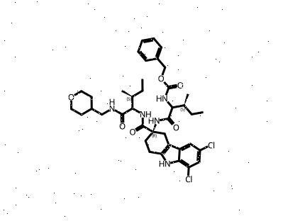 CC[C@H](C)C(NC(=O)OCc1ccccc1)C(=O)N[C@]1(C(=O)NC(C(=O)NCC2CCOCC2)[C@@H](C)CC)CCc2[nH]c3c(Cl)cc(Cl)cc3c2C1